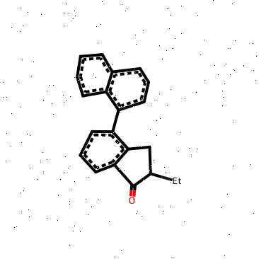 CCC1Cc2c(cccc2-c2cccc3ccccc23)C1=O